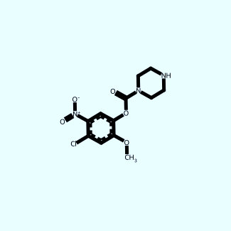 COc1cc(Cl)c([N+](=O)[O-])cc1OC(=O)N1CCNCC1